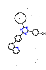 Cc1ccc(-c2nc(C3=C/C/C=C\C=C/C/C=C\3)nc(-c3ccc(-c4cccc5cccnc45)cc3)n2)cc1